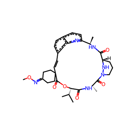 CON=C1CCC2(/C=C/c3ccc4ccc(nc4c3)[C@@H](C)NC(=O)[C@@H]3CCCN(N3)C(=O)[C@H](C)NC(=O)[C@H](C(C)C)OC2=O)CC1